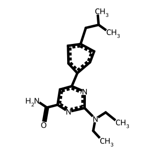 CCN(CC)c1nc(C(N)=O)cc(-c2ccc(CC(C)C)cc2)n1